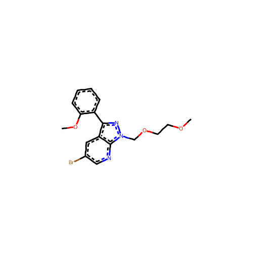 COCCOCn1nc(-c2ccccc2OC)c2cc(Br)cnc21